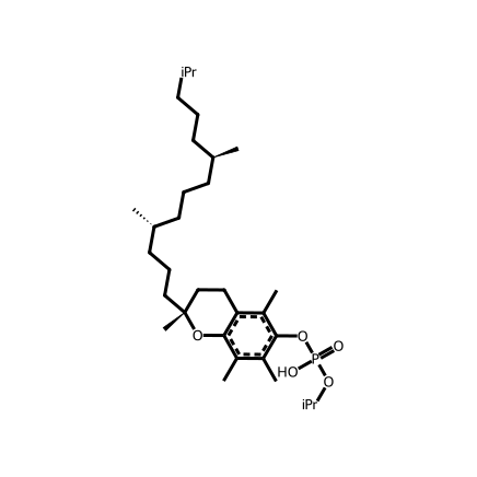 Cc1c(C)c2c(c(C)c1OP(=O)(O)OC(C)C)CC[C@@](C)(CCC[C@H](C)CCC[C@H](C)CCCC(C)C)O2